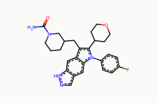 NC(=O)N1CCCC(Cc2c(C3CCOCC3)n(-c3ccc(F)cc3)c3cc4cn[nH]c4cc23)C1